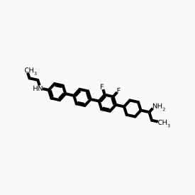 CCCNc1ccc(-c2ccc(-c3ccc(C4CCC(C(N)CC)CC4)c(F)c3F)cc2)cc1